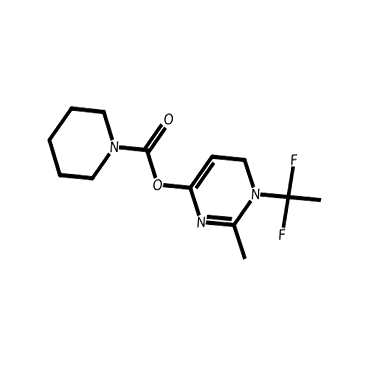 CC1=NC(OC(=O)N2CCCCC2)=CCN1C(C)(F)F